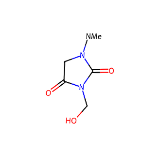 CNN1CC(=O)N(CO)C1=O